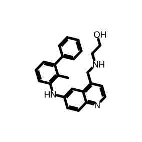 Cc1c(Nc2ccc3nccc(CNCCO)c3c2)cccc1-c1ccccc1